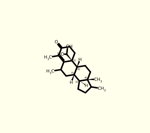 CC1=C2C(C)C[C@@H]3[C@@H](CC[C@]4(C)C(C)CC[C@@H]34)[C@@]2(C(O)O)CCC1=O